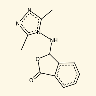 Cc1nnc(C)n1NC1OC(=O)c2ccccc21